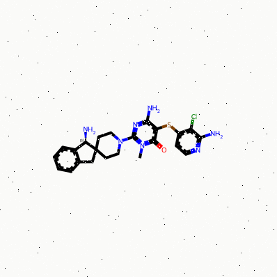 Cn1c(N2CCC3(CC2)Cc2ccccc2[C@H]3N)nc(N)c(Sc2ccnc(N)c2Cl)c1=O